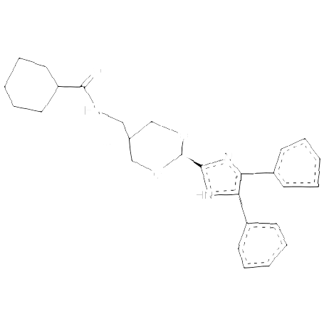 C[C@]1(CNC(=O)C2CCCCC2)CO[C@@H](c2nc(-c3ccccc3)c(-c3ccccc3)[nH]2)OC1